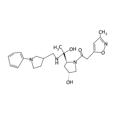 Cc1cc(CC(=O)N2C[C@H](O)C[C@H]2C(C)(O)NCC2CCN(c3ccccc3)C2)on1